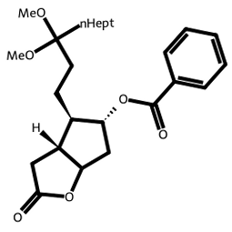 CCCCCCCC(CC[C@H]1[C@H](OC(=O)c2ccccc2)CC2OC(=O)C[C@@H]21)(OC)OC